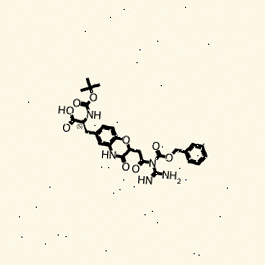 CC(C)(C)OC(=O)N[C@@H](Cc1ccc2c(c1)NC(=O)C(CC(=O)N(C(=N)N)C(=O)OCc1ccccc1)O2)C(=O)O